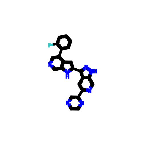 Fc1ccccc1-c1cncc2[nH]c(-c3n[nH]c4cnc(-c5cnccn5)cc34)cc12